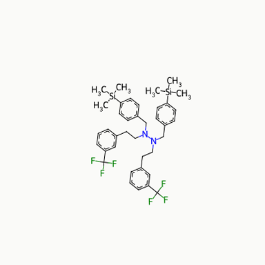 C[Si](C)(C)c1ccc(CN(CCc2cccc(C(F)(F)F)c2)N(CCc2cccc(C(F)(F)F)c2)Cc2ccc([Si](C)(C)C)cc2)cc1